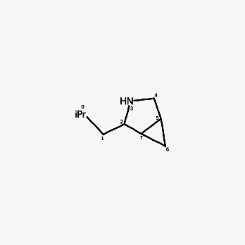 CC(C)CC1NCC2CC21